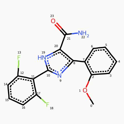 COc1ccccc1-c1nc(-c2c(F)cccc2F)[nH]c1C(N)=O